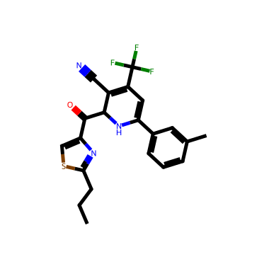 CCCc1nc(C(=O)C2NC(c3cccc(C)c3)=CC(C(F)(F)F)=C2C#N)cs1